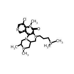 CC1CN2c3c(c(=O)n(C)c4c(Cl)cncc34)N(CCCN(C)C)CC2CN1C